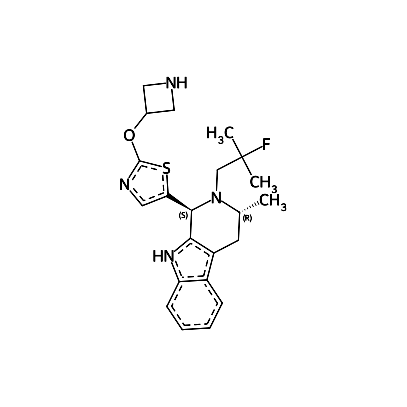 C[C@@H]1Cc2c([nH]c3ccccc23)[C@@H](c2cnc(OC3CNC3)s2)N1CC(C)(C)F